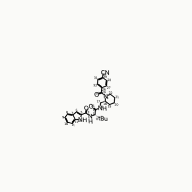 CC(C)(C)[C@H](NC(=O)c1cc2ccccc2[nH]1)C(=O)NC[C@@H]1CCCCN1C(=O)c1ccc(C#N)cc1